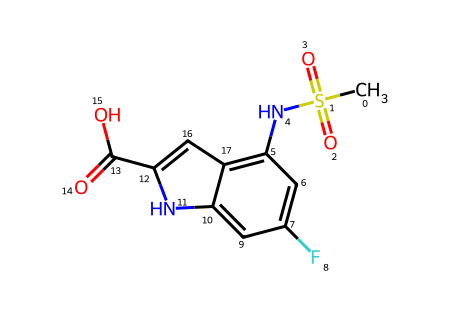 CS(=O)(=O)Nc1cc(F)cc2[nH]c(C(=O)O)cc12